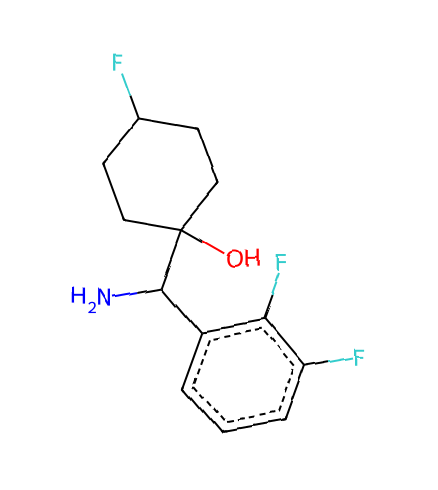 NC(c1cccc(F)c1F)C1(O)CCC(F)CC1